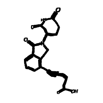 O=C(O)CC#Cc1cccc2c1CN(C1CCC(=O)NC1=O)C2=O